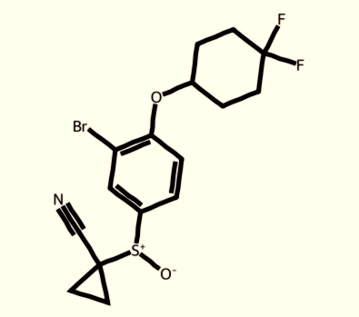 N#CC1([S+]([O-])c2ccc(OC3CCC(F)(F)CC3)c(Br)c2)CC1